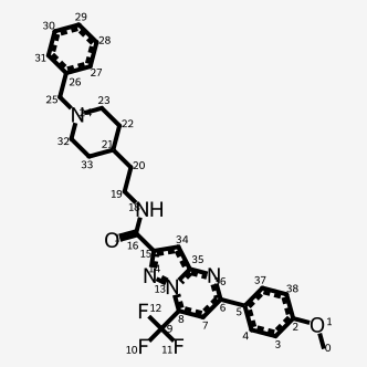 COc1ccc(-c2cc(C(F)(F)F)n3nc(C(=O)NCCC4CCN(Cc5ccccc5)CC4)cc3n2)cc1